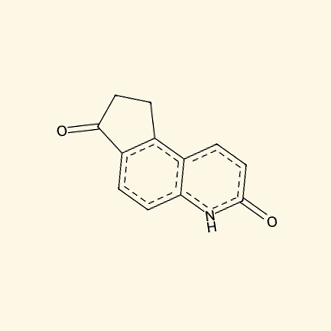 O=C1CCc2c1ccc1[nH]c(=O)ccc21